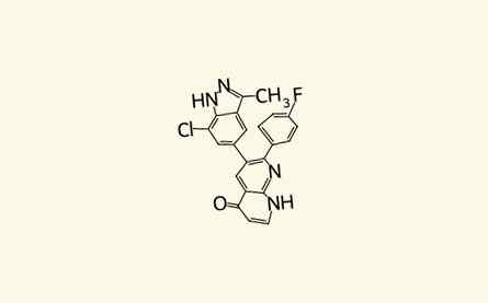 Cc1n[nH]c2c(Cl)cc(-c3cc4c(=O)cc[nH]c4nc3-c3ccc(F)cc3)cc12